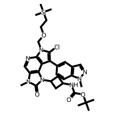 Cn1ncc2cc(-c3c(Cl)n(COCC[Si](C)(C)C)c4ncc5c(c34)n(C3CC(NC(=O)OC(C)(C)C)C3)c(=O)n5C)ccc21